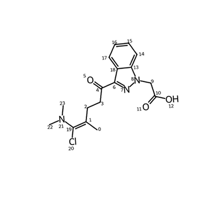 C/C(CCC(=O)c1nn(CC(=O)O)c2ccccc12)=C(\Cl)N(C)C